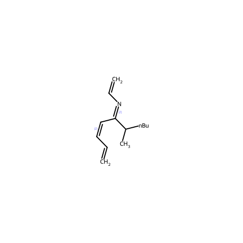 C=C/C=C\C(=N/C=C)C(C)CCCC